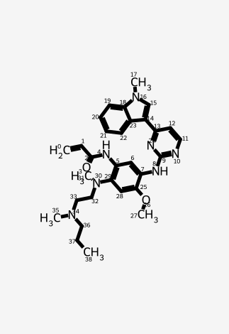 C=CC(=O)Nc1cc(Nc2nccc(-c3cn(C)c4ccccc34)n2)c(OC)cc1N(C)CCN(C)CCC